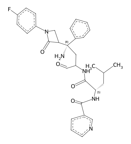 CC(C)C[C@H](NC(=O)c1cccnc1)C(=O)NC(C=O)C[C@](N)(c1ccccc1)C1CN(c2ccc(F)cc2)C1=O